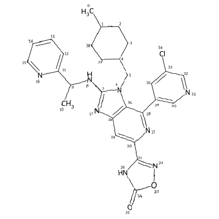 CC1CCC(Cn2c(NC(C)c3ccccn3)nc3cc(-c4noc(=O)[nH]4)nc(-c4cncc(Cl)c4)c32)CC1